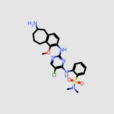 COc1c(Nc2ncc(Cl)c(Nc3ccccc3S(=O)(=O)N(C)C)n2)ccc2c1CCCC(N)C2